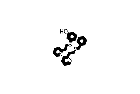 Oc1cccc(SCCc2ccccn2)c1.c1ccc(CSCCc2ccccn2)cc1